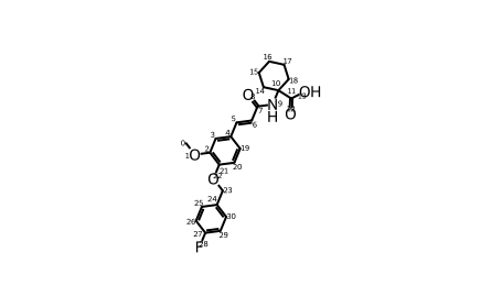 COc1cc(C=CC(=O)NC2(C(=O)O)CCCCC2)ccc1OCc1ccc(F)cc1